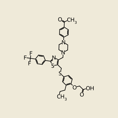 CCCc1cc(SCc2sc(-c3ccc(C(F)(F)F)cc3)nc2CN2CCN(c3ccc(C(C)=O)cc3)CC2)ccc1OCC(=O)O